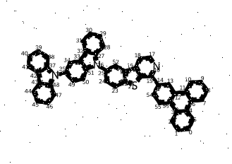 c1ccc2c(c1)c1ccccc1c1cc(-c3nccc4c3sc3ccc(-n5c6ccccc6c6cc(-n7c8ccccc8c8ccccc87)ccc65)cc34)ccc21